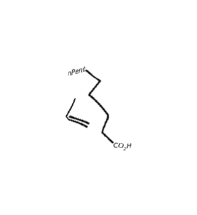 C=CC.CCCCCCCCCC(=O)O